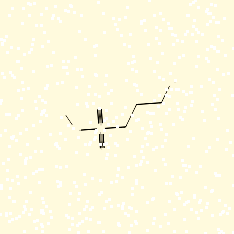 O=S(=O)(CCCS)OS